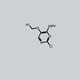 CNc1nc(Cl)ncc1OCC(C)=O